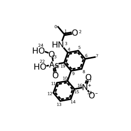 CC(=O)Nc1cc(C)cc(-c2ccccc2[N+](=O)[O-])c1[As](=O)(O)OO